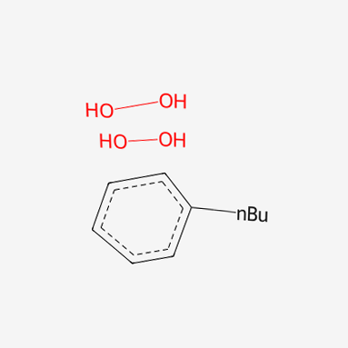 CCCCc1ccccc1.OO.OO